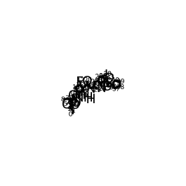 CCCS(=O)(=O)C(CC)S(=O)(=O)Nc1ccc(F)c(C(=O)Nc2cnc3c(c2)cc(I)n3S(=O)(=O)c2ccccc2)c1F